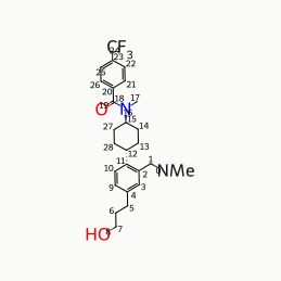 CNCc1cc(CCCO)ccc1[C@H]1CC[C@H](N(C)C(=O)c2ccc(C(F)(F)F)cc2)CC1